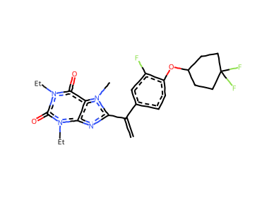 C=C(c1ccc(OC2CCC(F)(F)CC2)c(F)c1)c1nc2c(c(=O)n(CC)c(=O)n2CC)n1C